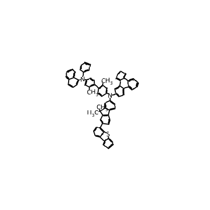 Cc1cc(N(c2ccc3c(c2)C(C)(C)c2cc(-c4cccc5c4sc4ccccc45)ccc2-3)c2ccc3c4ccccc4c4ccccc4c3c2)ccc1-c1ccc(N(c2ccccc2)c2cccc3ccccc23)cc1C